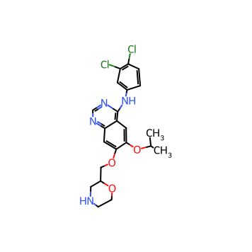 CC(C)Oc1cc2c(Nc3ccc(Cl)c(Cl)c3)ncnc2cc1OCC1CNCCO1